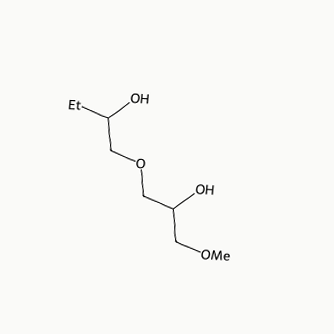 CCC(O)COCC(O)COC